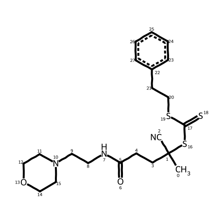 CC(C#N)(CCC(=O)NCCN1CCOCC1)SC(=S)SCCc1ccccc1